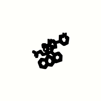 COc1ncc(-c2cccnc2)cc1C(c1ccccc1)C(O)(CCN(C)C)c1cccc2ccccc12